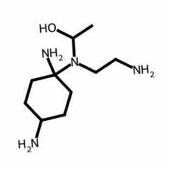 CC(O)N(CCN)C1(N)CCC(N)CC1